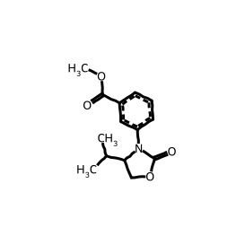 COC(=O)c1cccc(N2C(=O)OCC2C(C)C)c1